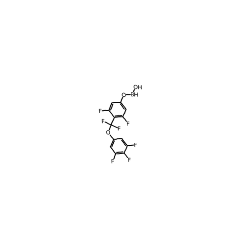 OBOc1cc(F)c(C(F)(F)Oc2cc(F)c(F)c(F)c2)c(F)c1